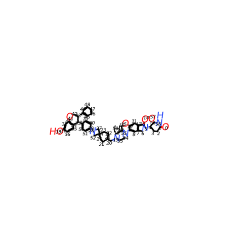 O=C1CC[C@@H](N2Cc3cc4c(cc3C2=O)OC[C@@H]2CN(CC3CCC5(CC3)CN(c3ccc([C@H]6c7ccc(O)cc7OC[C@H]6c6ccccc6)cc3)C5)CCN42)C(=O)N1